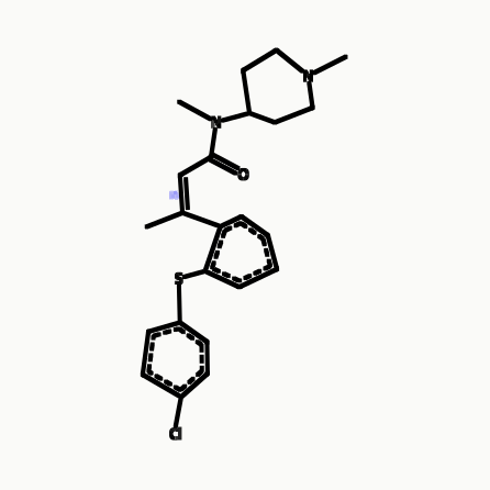 C/C(=C/C(=O)N(C)C1CCN(C)CC1)c1ccccc1Sc1ccc(Cl)cc1